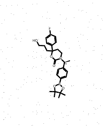 C[C@@H](c1ccc(B2OC(C)(C)C(C)(C)O2)cc1)N1CCC(CCCO)(c2ccc(F)cc2)OC1=O